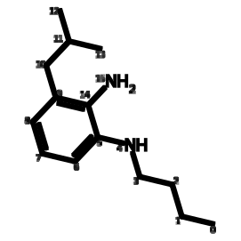 CCCCNc1cccc(CC(C)C)c1N